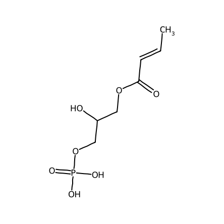 CC=CC(=O)OCC(O)COP(=O)(O)O